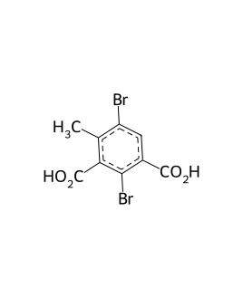 Cc1c(Br)cc(C(=O)O)c(Br)c1C(=O)O